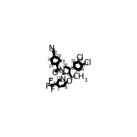 C[C@H](Oc1ccc(C(F)(F)F)cn1)[C@H]1CN(C(=O)c2ccc(C#N)cc2)C[C@@H]1c1ccc(Cl)c(Cl)c1